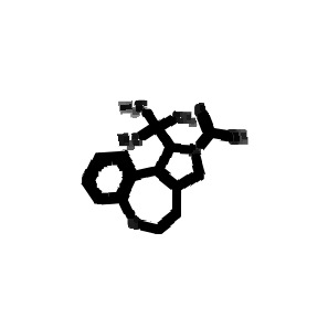 CC(C)(C)C1C2c3ccccc3OCCC2CN1C(=O)O